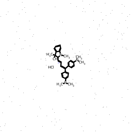 CN(C)c1ccc(C(=C/C=C/C2N(C)c3ccccc3C2(C)C)c2ccc(N(C)C)cc2)cc1.Cl